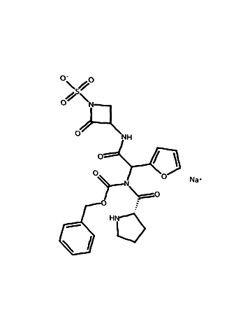 O=C(NC1CN(S(=O)(=O)[O-])C1=O)C(c1ccco1)N(C(=O)OCc1ccccc1)C(=O)[C@@H]1CCCN1.[Na+]